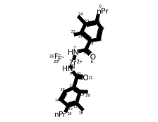 CCCc1ccc(C(=O)[NH][Zr+2][NH]C(=O)c2ccc(CCC)c(C)c2C)c(C)c1C.[F-].[F-]